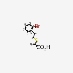 CC(SCCc1ccccc1Br)C(=O)O